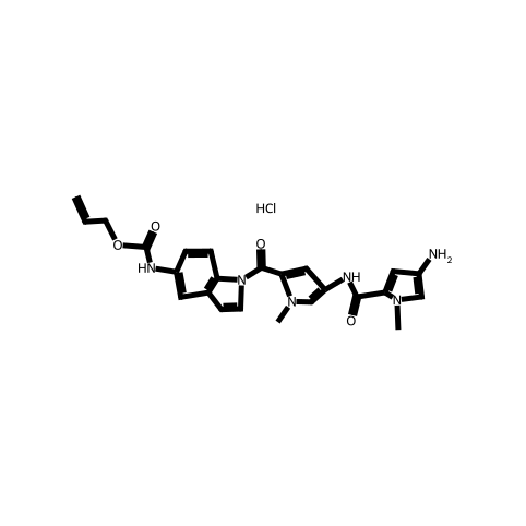 C=CCOC(=O)Nc1ccc2c(ccn2C(=O)c2cc(NC(=O)c3cc(N)cn3C)cn2C)c1.Cl